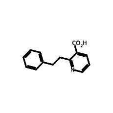 O=C(O)c1cccnc1CCc1ccccc1